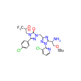 CC(C)(C)OCC(N)c1nc(Cn2nc(-c3ccc(Cl)cc3)n(CC(O)C(F)(F)F)c2=O)nn1-c1ncccc1Cl